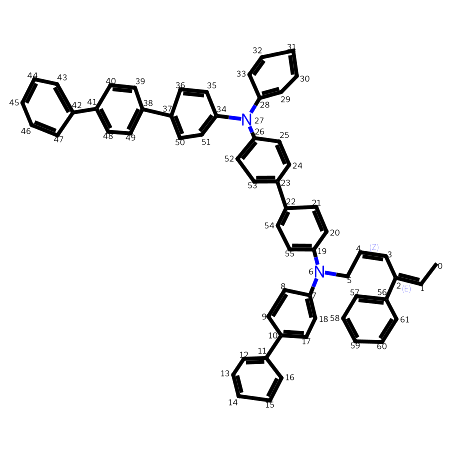 C/C=C(\C=C/CN(c1ccc(-c2ccccc2)cc1)c1ccc(-c2ccc(N(c3ccccc3)c3ccc(-c4ccc(-c5ccccc5)cc4)cc3)cc2)cc1)c1ccccc1